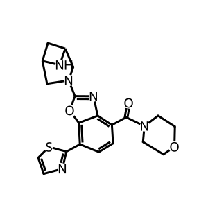 O=C(c1ccc(-c2nccs2)c2oc(N3CC4CC(C3)N4)nc12)N1CCOCC1